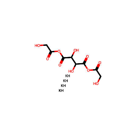 O=C(CO)OC(=O)C(O)C(O)C(=O)OC(=O)CO.[KH].[KH].[KH].[KH]